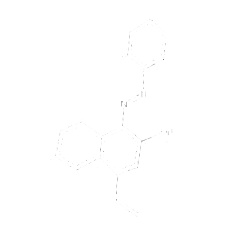 C=Cc1cc(O)c(N=Nc2ccccc2)c2ccccc12